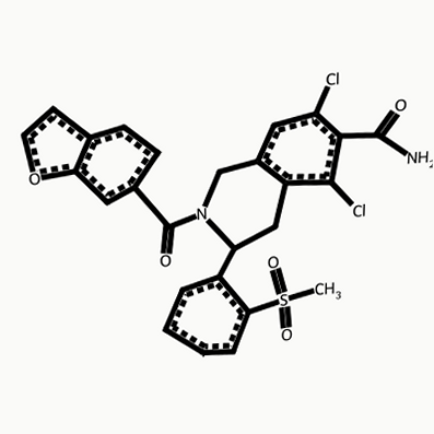 CS(=O)(=O)c1c[c]ccc1C1Cc2c(cc(Cl)c(C(N)=O)c2Cl)CN1C(=O)c1ccc2ccoc2c1